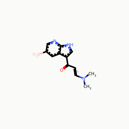 Bc1cnc2[nH]cc(C(=O)/C=C/N(C)C)c2c1